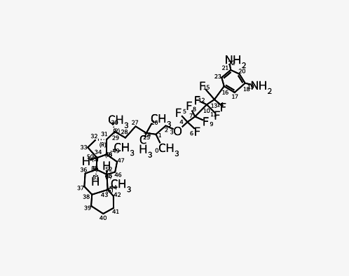 CC(COC(F)(F)C(F)(F)C(F)(F)C(F)(F)c1cc(N)cc(N)c1)C(C)(C)CC[C@@H](C)[C@H]1CC[C@H]2[C@@H]3CCC4CCCC[C@]4(C)[C@H]3CC[C@]12C